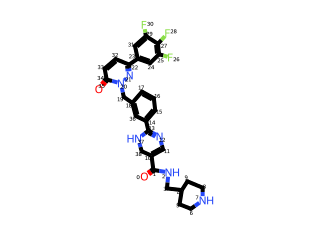 O=C(NCC1CCNCC1)C1=CN=C(c2cccc(Cn3nc(-c4cc(F)c(F)c(F)c4)ccc3=O)c2)NC1